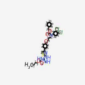 CCCCOC(=O)NC(=N)Nc1nc(-c2ccc(OCCCN(C(=O)OCc3ccccc3)c3ccc(Cl)c(Cl)c3)cc2)cs1